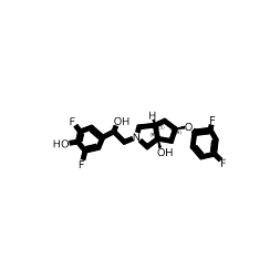 Oc1c(F)cc(C(O)CN2C[C@@H]3C[C@@H](Oc4ccc(F)cc4F)C[C@]3(O)C2)cc1F